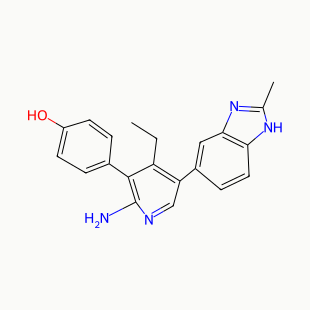 CCc1c(-c2ccc3[nH]c(C)nc3c2)cnc(N)c1-c1ccc(O)cc1